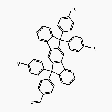 Cc1ccc(C2(c3ccc(C)cc3)c3ccccc3-c3cc4c(cc32)-c2ccccc2C4(c2ccc(C)cc2)c2ccc(C=O)cc2)cc1